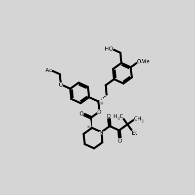 CCC(C)(C)C(=O)C(=O)N1CCCC[C@H]1C(=O)O[C@@H](CCc1ccc(OC)c(CO)c1)c1ccc(OCC(C)=O)cc1